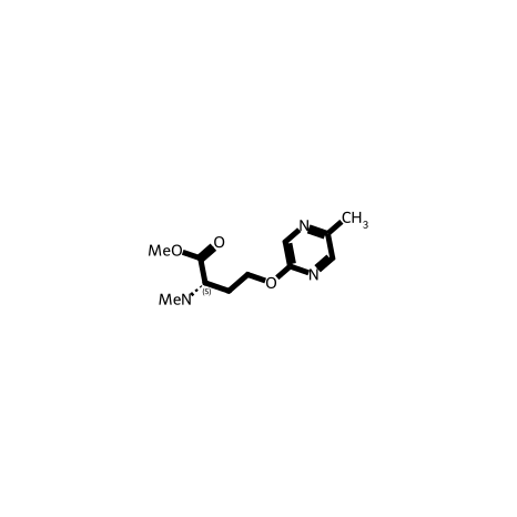 CN[C@@H](CCOc1cnc(C)cn1)C(=O)OC